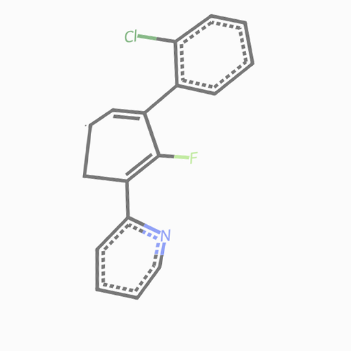 FC1=C(c2ccccn2)C[CH]C=C1c1ccccc1Cl